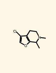 CC1c2occ(Cl)c2CCN1C